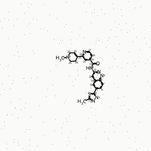 Cc1nnc(-c2ccc3nnc(NC(=O)c4ccnc(C5=CCN(C)CC5)c4)cc3c2)s1